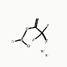 C=C(OB([O-])[O-])C(F)(F)F.[K+].[K+]